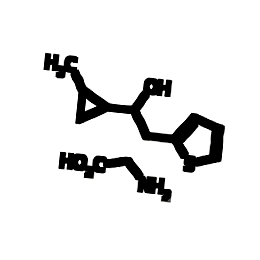 CC1CC1C(O)Cc1cccs1.NCC(=O)O